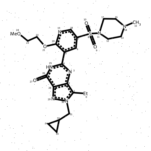 CCc1c2nc(-c3cc(S(=O)(=O)N4CCN(C)CC4)cnc3OCCOC)[nH]c(=O)c2nn1CC1CC1